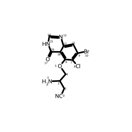 N#CCC(N)COc1c(Cl)c(Br)cc2nc[nH]c(=O)c12